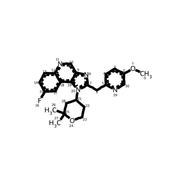 COc1ccc(Cc2nc3cnc4ccc(F)cc4c3n2C2CCOC(C)(C)C2)nc1